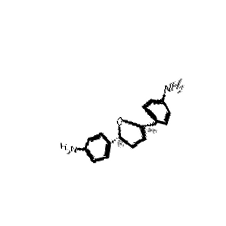 Nc1ccc([C@H]2CC[C@H](c3ccc(N)cc3)O2)cc1